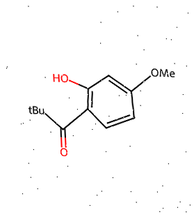 COc1ccc(C(=O)C(C)(C)C)c(O)c1